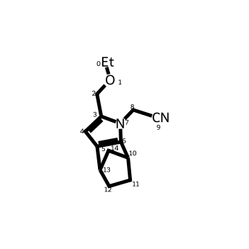 CCOCc1cc2c(n1CC#N)C1CCC2C1